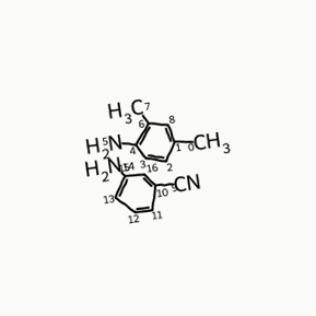 Cc1ccc(N)c(C)c1.N#Cc1cccc(N)c1